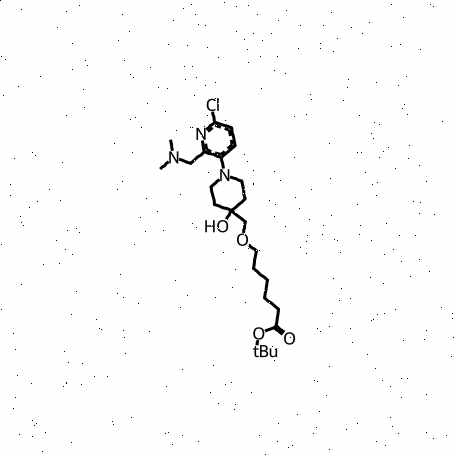 CN(C)Cc1nc(Cl)ccc1N1CCC(O)(COCCCCCC(=O)OC(C)(C)C)CC1